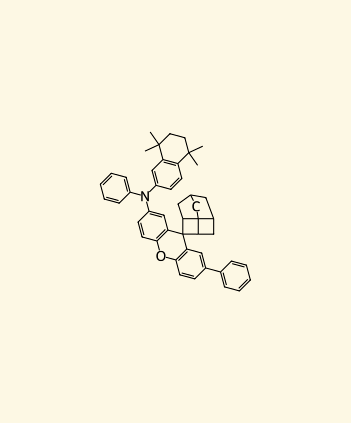 CC1(C)CCC(C)(C)c2cc(N(c3ccccc3)c3ccc4c(c3)C3(c5cc(-c6ccccc6)ccc5O4)C4CC5CC6CC3C64C5)ccc21